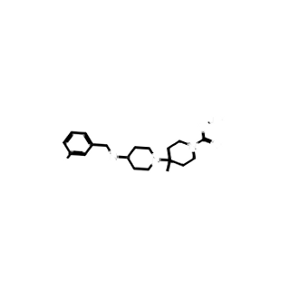 CC(C)(C)OC(=O)N1CCC(C)(N2CCC(NCc3cccc(F)c3)CC2)CC1